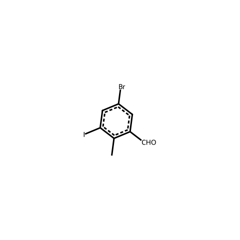 Cc1c(I)cc(Br)cc1C=O